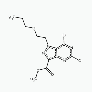 CCCOCCn1nc(C(=O)OC)c2nc(Cl)nc(Cl)c21